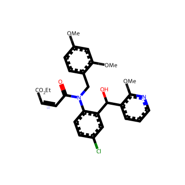 CCOC(=O)/C=C\C(=O)N(Cc1ccc(OC)cc1OC)c1ccc(Cl)cc1C(O)c1cccnc1OC